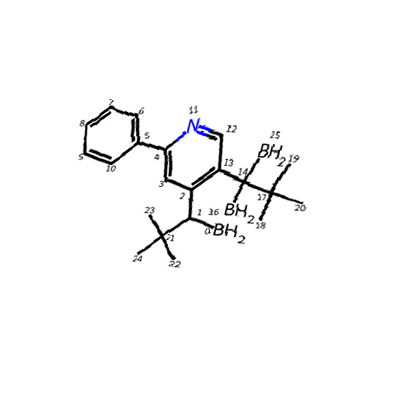 BC(c1cc(-c2ccccc2)ncc1C(B)(B)C(C)(C)C)C(C)(C)C